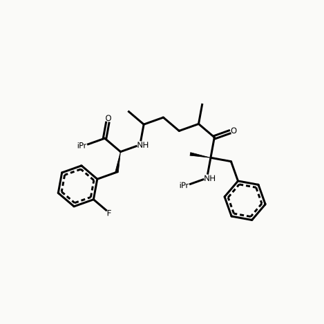 CC(C)N[C@@](C)(Cc1ccccc1)C(=O)C(C)CCC(C)N[C@@H](Cc1ccccc1F)C(=O)C(C)C